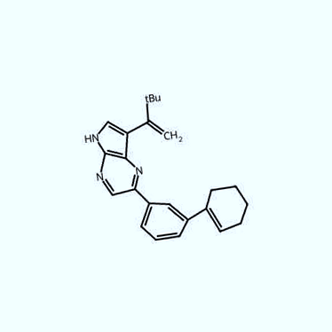 C=C(c1c[nH]c2ncc(-c3cccc(C4=CCCCC4)c3)nc12)C(C)(C)C